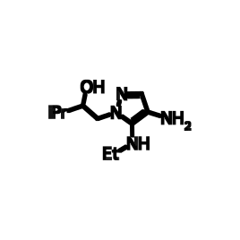 CCNc1c(N)cnn1CC(O)C(C)C